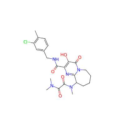 Cc1ccc(CNC(=O)c2nc3n(c(=O)c2O)CCCCC3N(C)C(=O)C(=O)N(C)C)cc1Cl